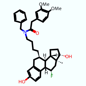 COc1ccc(CC(=O)N(CCCC[C@@H]2Cc3cc(O)ccc3[C@@H]3[C@@H]2[C@@H]2CC[C@H](O)[C@@]2(C)C[C@@H]3F)Cc2ccccc2)cc1OC